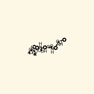 CC(C)(C)OC(=O)N(C(=O)OC(C)(C)C)c1nccc2cc(NC(C(=O)O)c3ccc(OCC(=O)Nc4cccc(CNC(=O)OCc5ccccc5)c4)cc3)ccc12